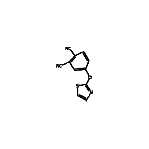 N#Cc1ccc(Oc2n[c]cs2)cc1C#N